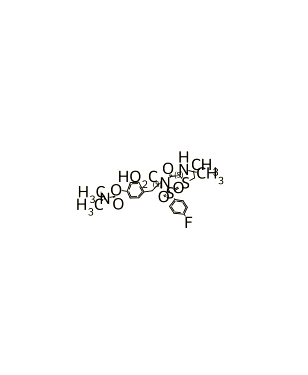 CN(C)C(=O)Oc1ccc(C[C@@H](C(=O)O)N(C(=O)[C@H]2NC(C)(C)CS2)S(=O)(=O)c2ccc(F)cc2)cc1